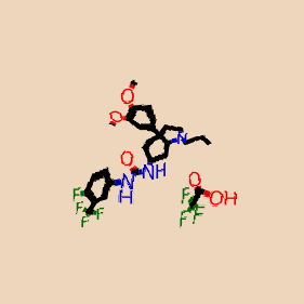 CCCN1CCC2(c3ccc(OC)c(OC)c3)CCC(NC(=O)Nc3ccc(F)c(C(F)(F)F)c3)CC12.O=C(O)C(F)(F)F